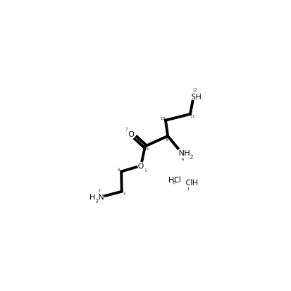 Cl.Cl.NCCOC(=O)C(N)CCS